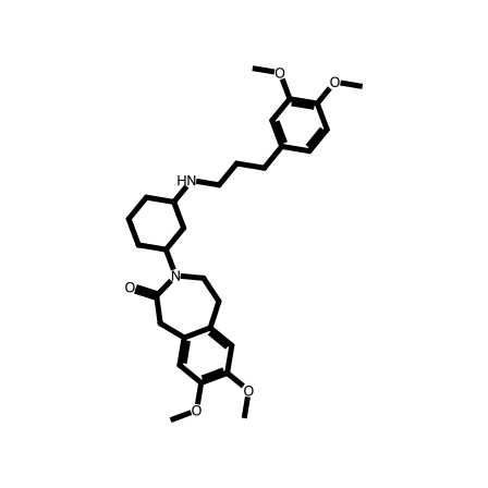 COc1ccc(CCCNC2CCCC(N3CCc4cc(OC)c(OC)cc4CC3=O)C2)cc1OC